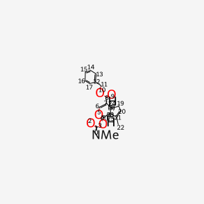 CNC(=O)O[C@H]1OC=C(C(=O)OCc2ccccc2)[C@H]2CC=C(C)[C@H]12